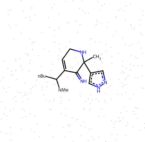 CCCCC(NC)C1=CCNC(C)(c2cn[nH]c2)C1=N